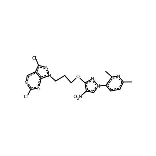 Cc1ccc(-n2cc([N+](=O)[O-])c(OCCCn3nc(Cl)c4cnc(Cl)nc43)n2)c(C)n1